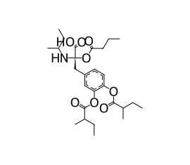 CCCC(=O)O[C@](Cc1ccc(OC(=O)C(C)CC)c(OC(=O)C(C)CC)c1)(NC(C)CC)C(=O)O